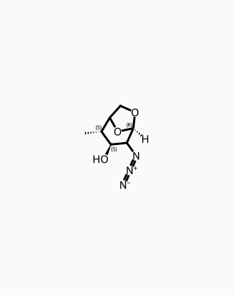 C[C@@H]1C2CO[C@H](O2)C(N=[N+]=[N-])[C@H]1O